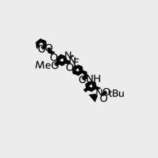 COc1cc2c(Oc3ccc(CC(=O)Nc4cc(C)cc(CN(C(=O)OC(C)(C)C)C5CC5)c4)cc3F)ncnc2cc1OCCOC1CCCCO1